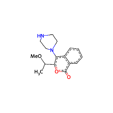 COC(C)c1oc(=O)c2ccccc2c1N1CCNCC1